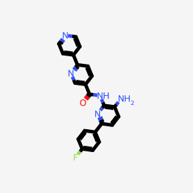 Nc1ccc(-c2ccc(F)cc2)nc1NC(=O)c1ccc(-c2ccncc2)nc1